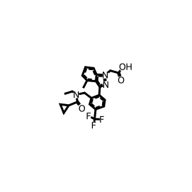 CCN(Cc1cc(C(F)(F)F)ccc1-c1nn(CC(=O)O)c2cccc(C)c12)C(=O)C1CC1